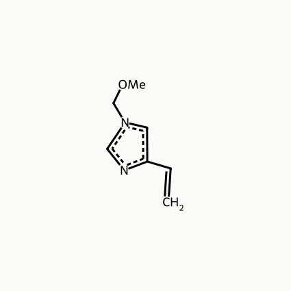 C=Cc1cn(COC)cn1